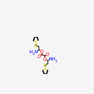 NC(CC[SH]1C=CC=C1)OC(=O)C(=O)OC(N)CC[SH]1C=CC=C1